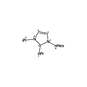 CCCCCCN1C=CN(C(C)C)C1CCC